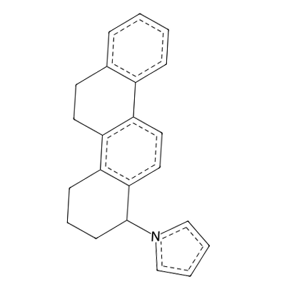 c1ccc2c(c1)CCc1c-2ccc2c1CCCC2n1cccc1